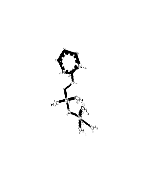 C[Si](C)(C)O[Si](C)(C)COc1ncccn1